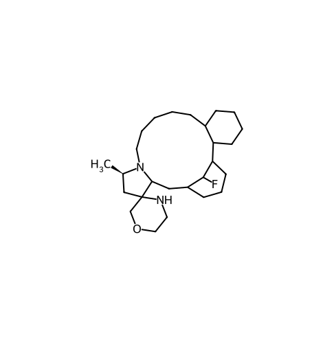 C[C@@H]1CC2(COCCN2)C2CC3CCCC(C3F)C3CCCCC3CCCCCN21